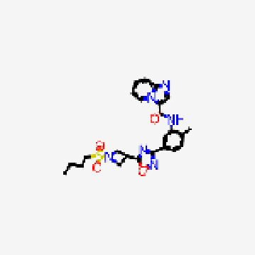 CCCCS(=O)(=O)N1CC(c2nc(-c3ccc(C)c(NC(=O)c4cnc5ccccn45)c3)no2)C1